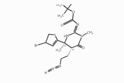 CN1C(=O)[C@H](CCN=[N+]=[N-])[C@@](C)(C2=CC(Br)CS2)N/C1=N\C(=O)OC(C)(C)C